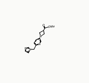 COC(=O)C1CN(c2ccc(Cn3ccnc3)nc2)C1